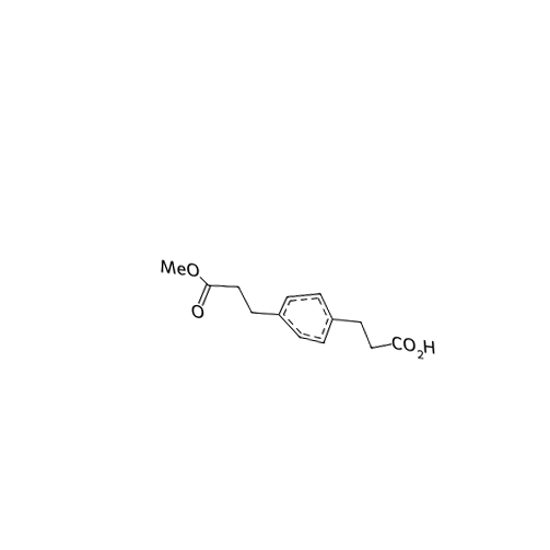 COC(=O)CCc1ccc(CCC(=O)O)cc1